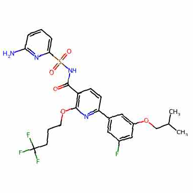 CC(C)COc1cc(F)cc(-c2ccc(C(=O)NS(=O)(=O)c3cccc(N)n3)c(OCCCC(F)(F)F)n2)c1